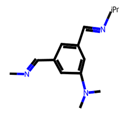 C/N=C/c1cc(/C=N/C(C)C)cc(N(C)C)c1